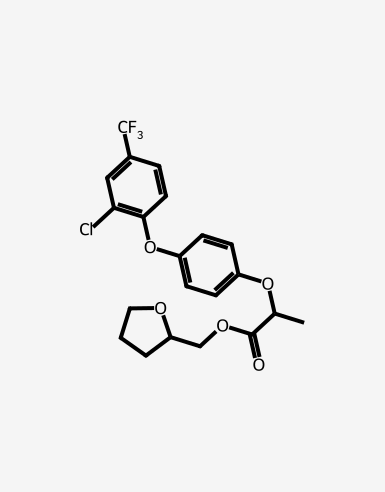 CC(Oc1ccc(Oc2ccc(C(F)(F)F)cc2Cl)cc1)C(=O)OCC1CCCO1